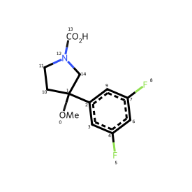 COC1(c2cc(F)cc(F)c2)CCN(C(=O)O)C1